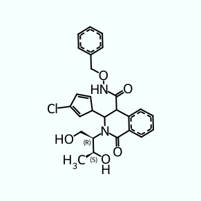 C[C@H](O)[C@@H](CO)N1C(=O)c2ccccc2C(C(=O)NOCc2ccccc2)C1C1C=CC(Cl)=C1